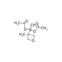 CC(=O)O[Si](C)(OC(C)=O)C1(C)COC1